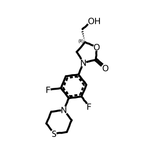 O=C1O[C@@H](CO)CN1c1cc(F)c(N2CCSCC2)c(F)c1